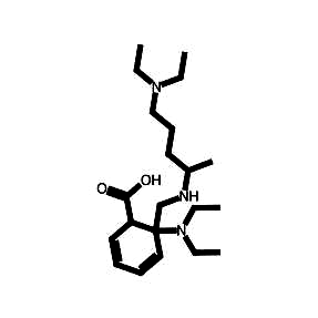 CCN(CC)CCCC(C)NCC1(N(CC)CC)C=CC=CC1C(=O)O